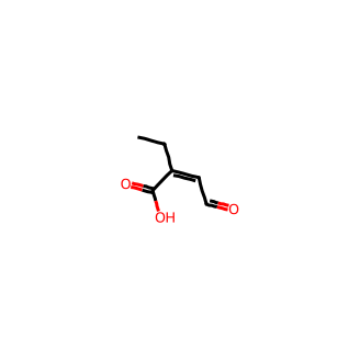 CCC(=CC=O)C(=O)O